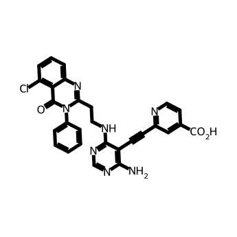 Nc1ncnc(NCCc2nc3cccc(Cl)c3c(=O)n2-c2ccccc2)c1C#Cc1cc(C(=O)O)ccn1